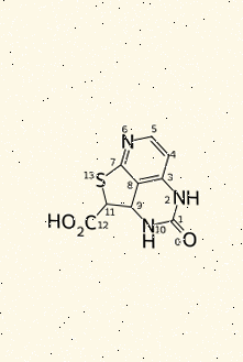 O=C1Nc2ccnc3c2C(N1)C(C(=O)O)S3